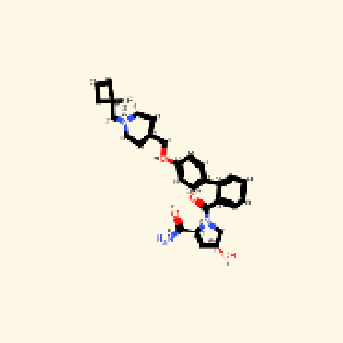 NC(=O)[C@@H]1C[C@@H](O)CN1C(=O)c1ccccc1-c1ccc(OCC2CCN(CC3(C(F)(F)F)CCC3)CC2)cc1